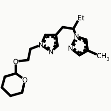 CCC(Cc1cnn(CCOC2CCCCO2)c1)n1cc(C)cn1